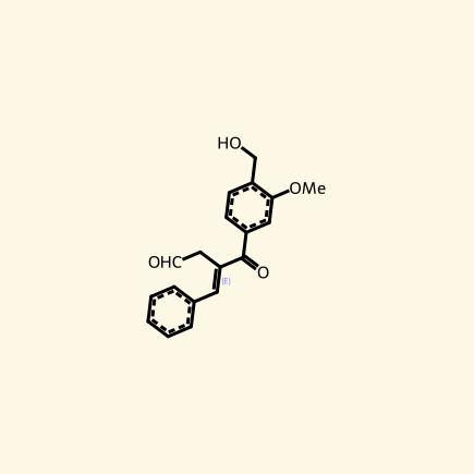 COc1cc(C(=O)/C(=C/c2ccccc2)CC=O)ccc1CO